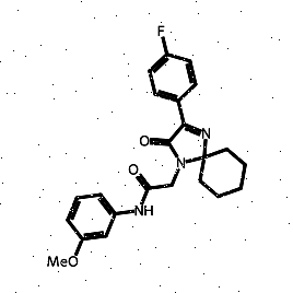 COc1cccc(NC(=O)CN2C(=O)C(c3ccc(F)cc3)=NC23CCCCC3)c1